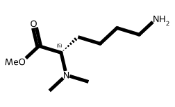 COC(=O)[C@H](CCCCN)N(C)C